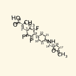 C/C(=C\c1c(F)c(F)c(-c2ccc(NCc3ccc(C)o3)cc2)c(F)c1F)C(=O)O